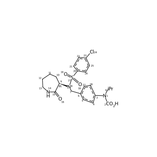 CC(C)N(C(=O)O)c1ccc(CN([C@@H]2CCCCNC2=O)S(=O)(=O)c2ccc(Cl)cc2)cc1